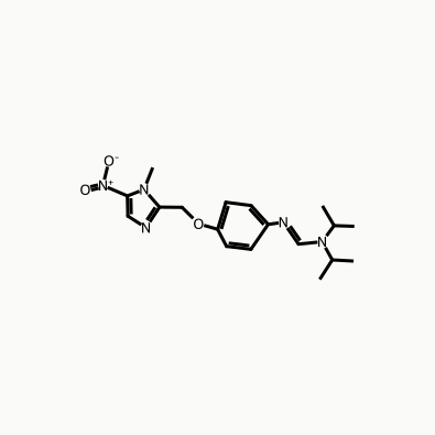 CC(C)N(C=Nc1ccc(OCc2ncc([N+](=O)[O-])n2C)cc1)C(C)C